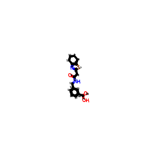 O=C(Cc1nc2c(s1)CCCC2)NCc1cccc(C(=O)O)c1